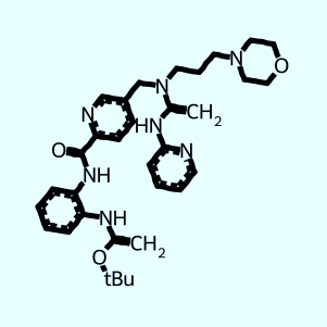 C=C(Nc1ccccc1NC(=O)c1ccc(CN(CCCN2CCOCC2)C(=C)Nc2ccccn2)cn1)OC(C)(C)C